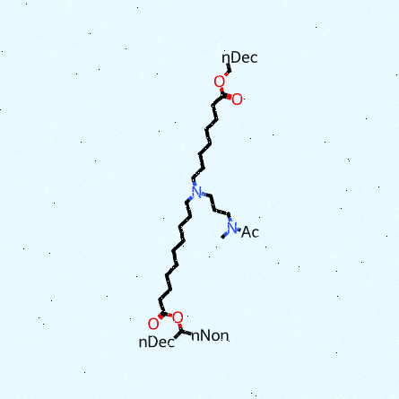 CCCCCCCCCCCOC(=O)CCCCCCCN(CCCCCCCCCC(=O)OC(CCCCCCCCC)CCCCCCCCCC)CCCN(C)C(C)=O